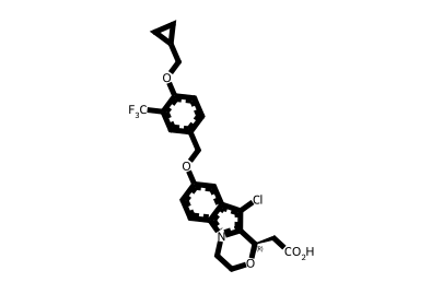 O=C(O)C[C@H]1OCCn2c1c(Cl)c1cc(OCc3ccc(OCC4CC4)c(C(F)(F)F)c3)ccc12